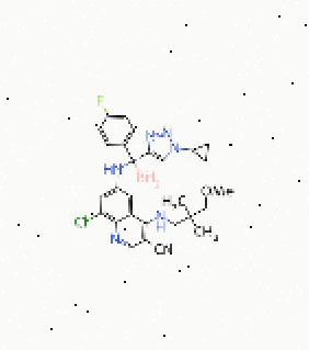 BC(Nc1cc(Cl)c2ncc(C#N)c(NCC(C)(C)COC)c2c1)(c1ccc(F)cc1)c1cn(C2CC2)nn1